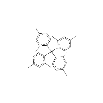 Cc1cc[c]([Al-]([c]2ccc(C)cc2C)([c]2ccc(C)cc2C)[c]2ccc(C)cc2C)c(C)c1